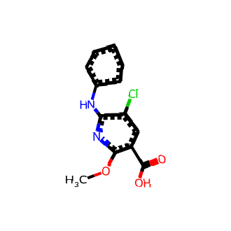 COc1nc(Nc2ccccc2)c(Cl)cc1C(=O)O